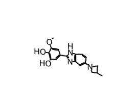 COc1cc(-c2nc3cc(N4CC(C)C4)ccc3[nH]2)cc(O)c1O